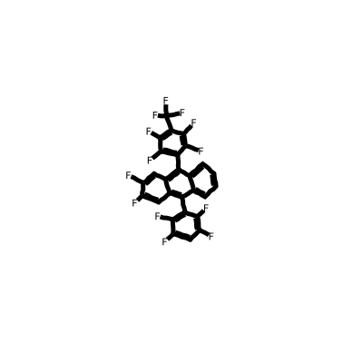 Fc1cc2c(-c3c(F)c(F)cc(F)c3F)c3ccccc3c(-c3c(F)c(F)c(C(F)(F)F)c(F)c3F)c2cc1F